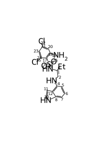 CC[C@@H](CNc1cccc2[nH]ccc12)NS(=O)(=O)c1c(N)cc(Cl)cc1Cl